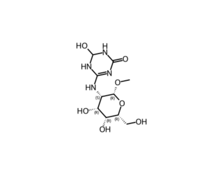 CO[C@@H]1O[C@H](CO)[C@H](O)[C@H](O)[C@@H]1NC1=NC(=O)NC(O)N1